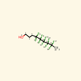 OCCCC(F)(F)C(F)(F)C(F)(F)C(F)(F)C(F)(F)C(F)(F)F